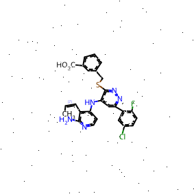 C/C=C\c1c(Nc2cc(-c3cc(Cl)ccc3F)nnc2SCc2cccc(C(=O)O)c2)ccnc1N